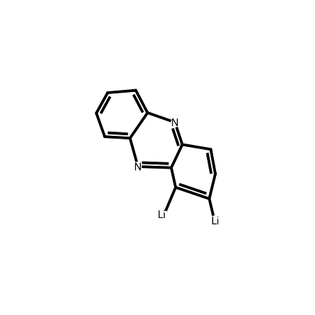 [Li][c]1ccc2nc3ccccc3nc2[c]1[Li]